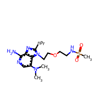 CCCc1nc2c(N)ncc(N(C)C)c2n1CCOCCNS(C)(=O)=O